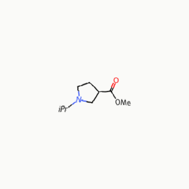 COC(=O)C1CCN(C(C)C)C1